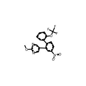 COc1ncc(-c2cc([N+](=O)[O-])ccc2-c2ccccc2OC(F)(F)F)cn1